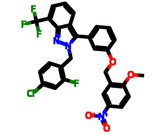 COc1ccc([N+](=O)[O-])cc1COc1cccc(-c2c3cccc(C(F)(F)F)c3nn2Cc2ccc(Cl)cc2F)c1